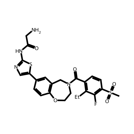 CCc1c(C(=O)N2CCOc3ccc(-c4cnc(NC(=O)CN)s4)cc3C2)ccc(S(C)(=O)=O)c1F